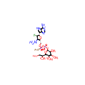 Nc1ncnc2c([C@@H]3O[C@H](COP(=O)(S)OP(=O)(O)OC4OC([C@@H](O)CO)C(O)C(O)C4O)[C@@H](N)[C@H]3F)c[nH]c12